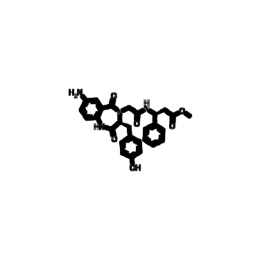 COC(=O)C[C@H](NC(=O)CN1C(=O)c2cc(N)ccc2NC(=O)[C@@H]1Cc1ccc(O)cc1)c1ccccc1